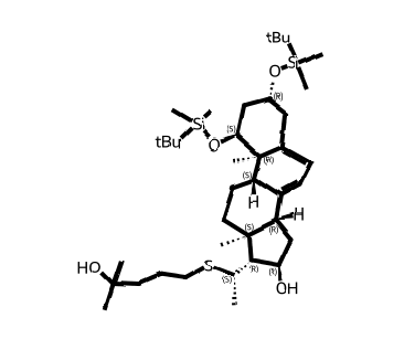 C[C@H](SCCCC(C)(C)O)[C@H]1[C@H](O)C[C@H]2C3=CC=C4C[C@@H](O[Si](C)(C)C(C)(C)C)C[C@H](O[Si](C)(C)C(C)(C)C)[C@]4(C)[C@H]3CC[C@]12C